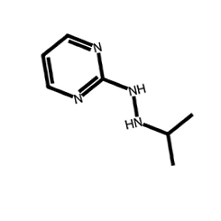 CC(C)NNc1ncccn1